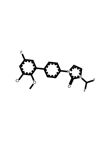 COc1c(Cl)cc(F)cc1-c1ccc(-n2ccn(C(F)F)c2=O)cc1